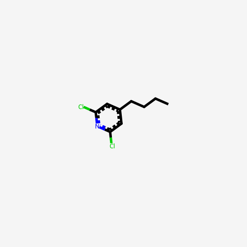 CCCCc1cc(Cl)nc(Cl)c1